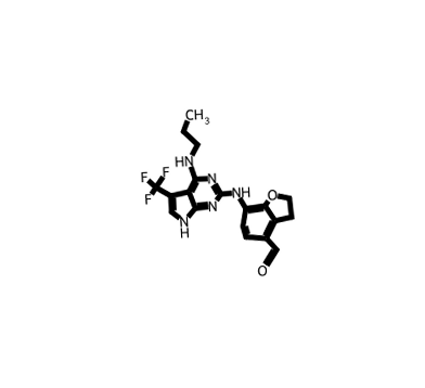 CCCNc1nc(Nc2ccc(C=O)c3c2OCC3)nc2[nH]cc(C(F)(F)F)c12